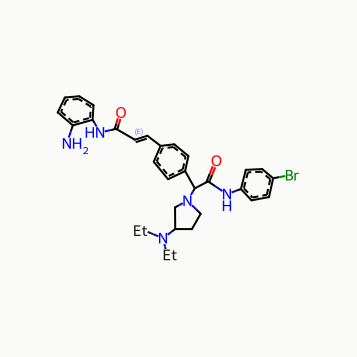 CCN(CC)C1CCN(C(C(=O)Nc2ccc(Br)cc2)c2ccc(/C=C/C(=O)Nc3ccccc3N)cc2)C1